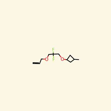 C=CCOCC(F)(F)COC1CC(C)C1